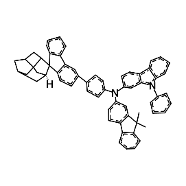 CC1(C)c2ccccc2-c2ccc(N(c3ccc(-c4ccc5c(c4)-c4ccccc4C54C5CC6CC7C[C@H]4CC65C7)cc3)c3ccc4c5ccccc5n(-c5ccccc5)c4c3)cc21